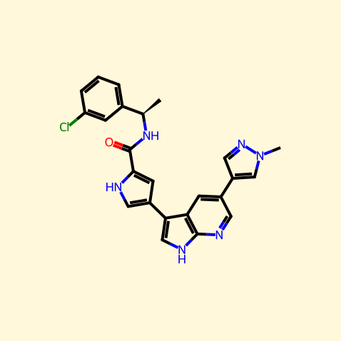 C[C@@H](NC(=O)c1cc(-c2c[nH]c3ncc(-c4cnn(C)c4)cc23)c[nH]1)c1cccc(Cl)c1